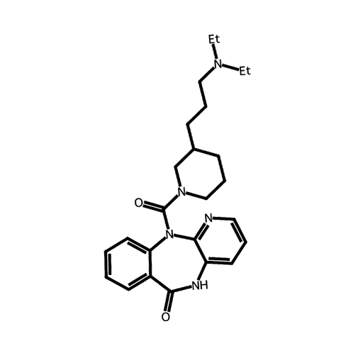 CCN(CC)CCCC1CCCN(C(=O)N2c3ccccc3C(=O)Nc3cccnc32)C1